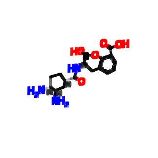 N[C@@H]1CC[C@H](C(=O)N[C@H]2Cc3cccc(C(=O)O)c3OB2O)C[C@H]1N